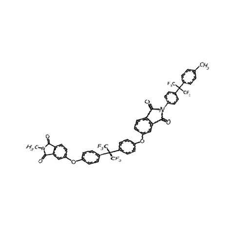 Cc1ccc(C(c2ccc(N3C(=O)c4ccc(Oc5ccc(C(c6ccc(Oc7ccc8c(c7)C(=O)N(C)C8=O)cc6)(C(F)(F)F)C(F)(F)F)cc5)cc4C3=O)cc2)(C(F)(F)F)C(F)(F)F)cc1